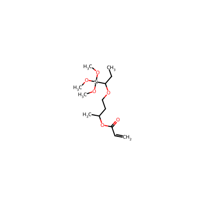 C=CC(=O)OC(C)CCOC(CC)[Si](OC)(OC)OC